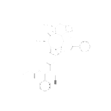 C#CO[C@@H](C(=O)O[C@@H]1C=C2[C@@H](OC)C(=O)[C@@]3(C)C([C@H](OC(=O)c4ccccc4)C(O)(C1)C2(C)C)[C@]1(OC(C)=O)CO[C@@H]1C[C@@H]3OC)[C@@H](NC(=O)OC(C)(C)C)c1ccccc1